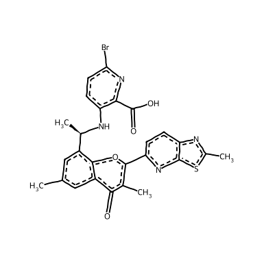 Cc1cc([C@@H](C)Nc2ccc(Br)nc2C(=O)O)c2oc(-c3ccc4nc(C)sc4n3)c(C)c(=O)c2c1